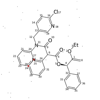 C=C(OCC)[C@H](OC(=O)C(C(=O)N(Cc1ccc(Cl)nc1)c1ccccn1)c1ccccc1)c1ccccc1